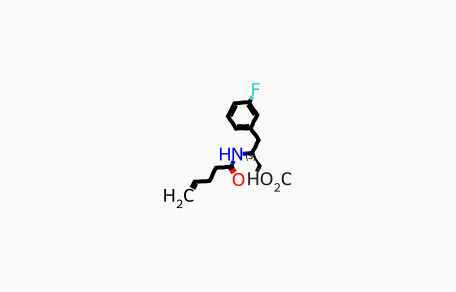 C=CCCC(=O)N[C@H](CC(=O)O)Cc1cccc(F)c1